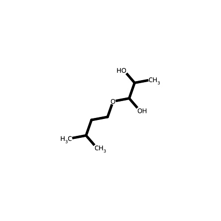 CC(C)CCOC(O)C(C)O